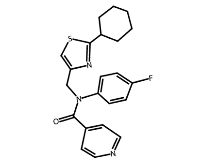 O=C(c1ccncc1)N(Cc1csc(C2CCCCC2)n1)c1ccc(F)cc1